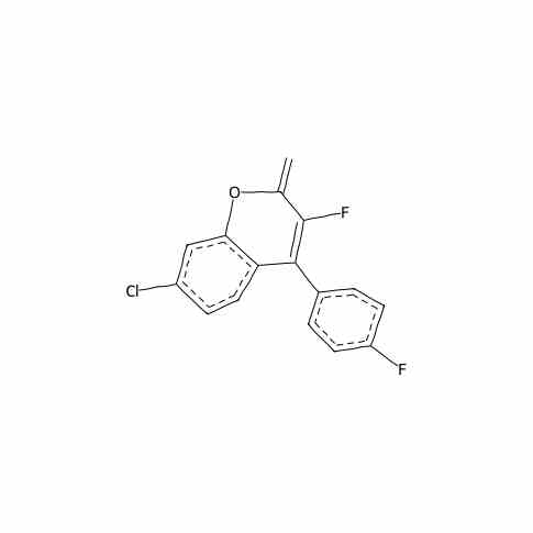 C=C1Oc2cc(Cl)ccc2C(c2ccc(F)cc2)=C1F